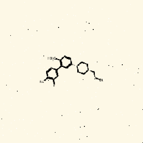 CCOC[C@H]1CC[C@H](c2ccc(C(=O)O)c(-c3ccc(C#N)c(F)c3)c2)CC1